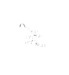 N=C(N=NN)NC(=N)NCCc1cccs1